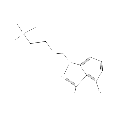 C[Si](C)(C)CCOCn1nc(F)c2c(N)cccc21